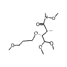 COCCCO[C@@H](C(OC)OC)[C@@H](C)C(=O)N(C)OC